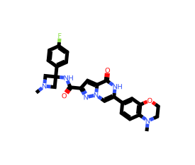 CN1CC(NC(=O)c2cc3c(=O)[nH]c(-c4ccc5c(c4)OCCN5C)cn3n2)(c2ccc(F)cc2)C1